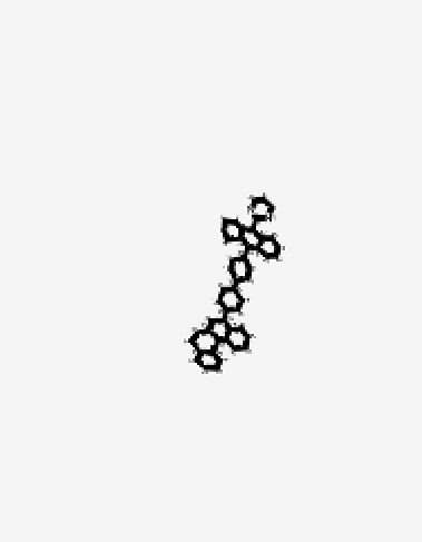 c1cnc(-c2c3ccccc3c(-c3ccc(-c4ccc(-c5cc6ccc7ccccc7c6c6ccccc56)cc4)cc3)c3ccccc23)nc1